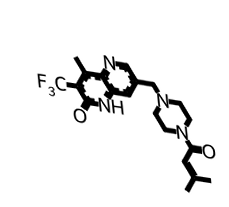 CC(C)=CC(=O)N1CCN(Cc2cnc3c(C)c(C(F)(F)F)c(=O)[nH]c3c2)CC1